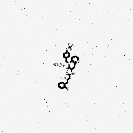 Cl.Cl.N[C@@H](CC(=O)NC1Cc2ncccc2N(Cc2ccc(OC(F)(F)F)cc2)C1=O)Cc1ccccc1F